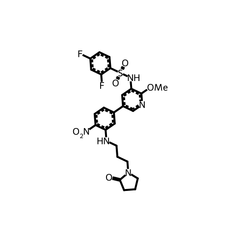 COc1ncc(-c2ccc([N+](=O)[O-])c(NCCCN3CCCC3=O)c2)cc1NS(=O)(=O)c1ccc(F)cc1F